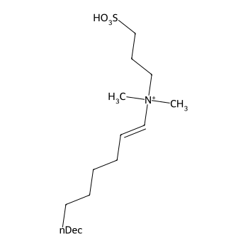 CCCCCCCCCCCCCCC=C[N+](C)(C)CCCS(=O)(=O)O